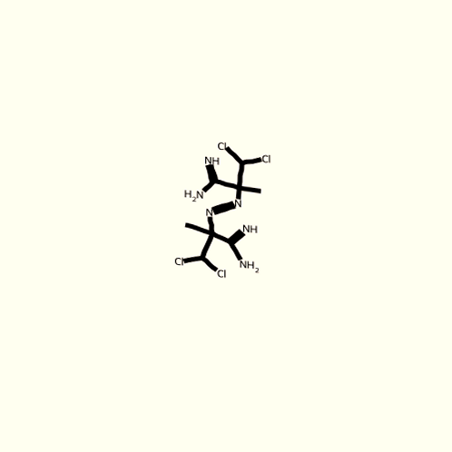 CC(N=NC(C)(C(=N)N)C(Cl)Cl)(C(=N)N)C(Cl)Cl